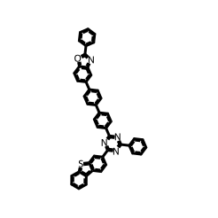 c1ccc(-c2nc(-c3ccc(-c4ccc(-c5ccc6oc(-c7ccccc7)nc6c5)cc4)cc3)nc(-c3ccc4c(c3)sc3ccccc34)n2)cc1